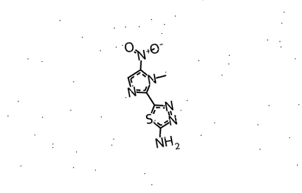 Cn1c([N+](=O)[O-])cnc1-c1nnc(N)s1